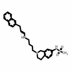 CS(=O)(=O)Nc1ccc2c(c1)CN(CCCCN/C=C/Cc1ccc3ccccc3c1)CC2